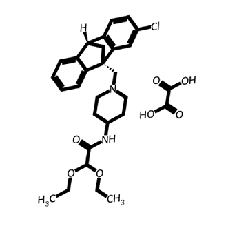 CCOC(OCC)C(=O)NC1CCN(C[C@@]23C[C@H](c4ccccc42)c2ccc(Cl)cc23)CC1.O=C(O)C(=O)O